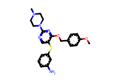 COc1ccc(COc2nc(N3CCN(C)CC3)ncc2Sc2cccc(N)c2)cc1